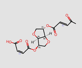 CC(=O)/C=C/C(=O)O[C@H]1CO[C@H]2[C@@H]1OC[C@H]2OC(=O)/C=C\C(=O)O